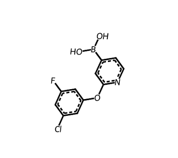 OB(O)c1ccnc(Oc2cc(F)cc(Cl)c2)c1